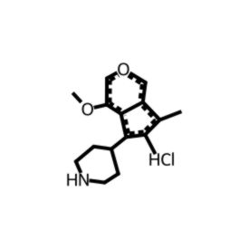 COc1cocc2c(C)c(C)c(C3CCNCC3)c1-2.Cl